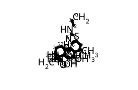 C=CCNc1nc2c(s1)CC(C)(C)[C@H]1[C@H](O)[C@]3(O)OC[C@@]21[C@@H]1CC[C@H]2C(=C)C(=O)[C@]13[C@@H]2O